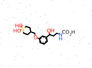 O=C(O)NCCC(O)c1cccc(OCC2CCS(O)(O)CC2)c1